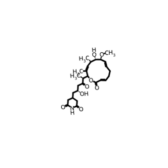 CO[C@H]1/C=C/CC/C=C/C(=O)OC([C@H](C)C(=O)C[C@H](O)CC2CC(=O)NC(=O)C2)/C(C)=C\[C@@H](C)[C@@H]1O